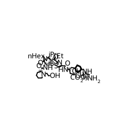 CCCCCCN(C(=O)[C@@H](NC(=O)[C@H]1CCCCN1CCO)[C@@H](C)CC)[C@H](C[C@@H](OCC)c1nc(C(=O)N[C@@H](Cc2ccc(NC(=O)CN)cc2)CC(C)(C)C(=O)O)cs1)C(C)C